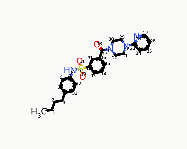 CCCCc1ccc(NS(=O)(=O)c2cccc(C(=O)N3CCN(c4ccccn4)CC3)c2)cc1